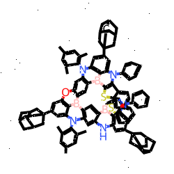 Cc1cc(C)c(N2c3cc4c(cc3B3c5cc6c(cc5Oc5cc(C78CC9CC(CC(C9)C7)C8)cc2c53)N(c2c(C)cc(C)cc2C)c2cc(C35CC7CC(CC(C7)C3)C5)cc3c2B6c2sc5ccccc5c2N3c2ccccc2)B2c3sc5ccccc5c3N(c3ccccc3)c3cc(C56CC7CC(CC(C7)C5)C6)cc(c32)N4)c(C)c1